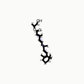 CC1=C(/C=C/C(C)=C/C=C/C(C)=C/C(=O)OC(C)CO)C(C)(C)CCC1